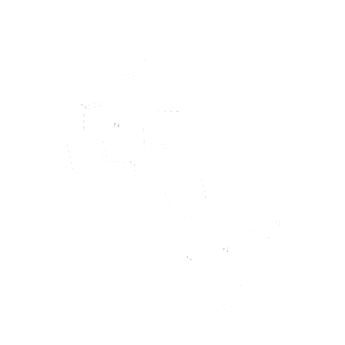 CN1c2c(-c3ccc(-c4nc5ccccc5n4-c4ccccc4)cc3)cccc2-n2c(-c3ccccc3)nc3cccc1c32